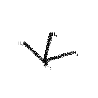 COCCOCCOCCOCCOCCOCCOCCOCCOCCOCCOCCOc1cc(C(=O)NCCN)cc(OCCOCCOCCOCCOCCOCCOCCOCCOCCOCCOCCOC)c1OCCOCCOCCOCCOCCOCCOCCOCCOCCOCCOCCOC